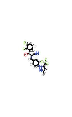 Cc1cc(C(F)(F)F)n(-c2ccc(/C=C(\C#N)C(=O)c3cccc(F)c3F)cc2)n1